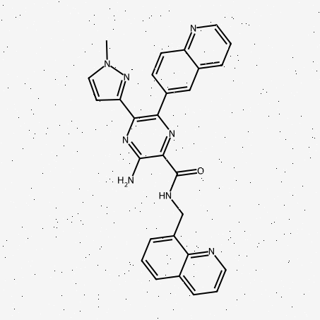 Cn1ccc(-c2nc(N)c(C(=O)NCc3cccc4cccnc34)nc2-c2ccc3ncccc3c2)n1